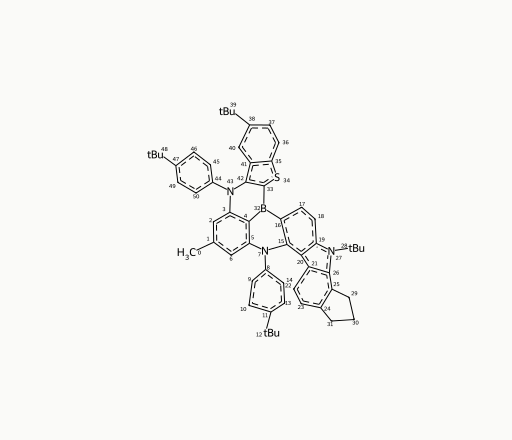 Cc1cc2c3c(c1)N(c1ccc(C(C)(C)C)cc1)c1c(ccc4c1c1ccc5c(c1n4C(C)(C)C)CCC5)B3c1sc3ccc(C(C)(C)C)cc3c1N2c1ccc(C(C)(C)C)cc1